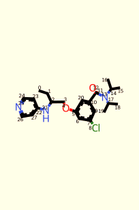 CCC(COc1cc(Cl)cc(C(=O)N(C(C)C)C(C)C)c1)Nc1ccncc1